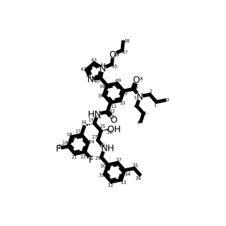 CCCN(CCC)C(=O)c1cc(C(=O)N[C@@H](Cc2cc(F)cc(F)c2)[C@H](O)CNCc2cccc(CC)c2)cc(-c2nccn2COCC)c1